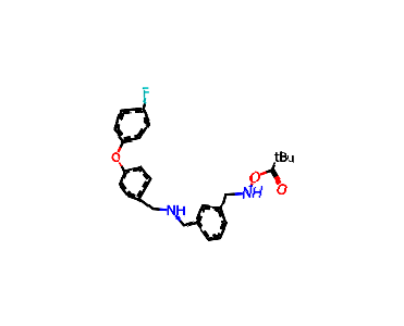 CC(C)(C)C(=O)ONCc1cccc(CNCc2ccc(Oc3ccc(F)cc3)cc2)c1